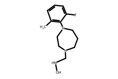 Cc1cccc(F)c1N1CCCN(CNO)CC1